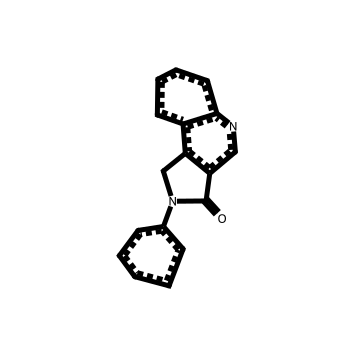 O=C1c2cnc3ccccc3c2CN1c1ccccc1